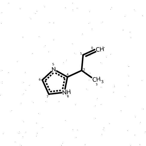 [CH]=CC(C)c1ncc[nH]1